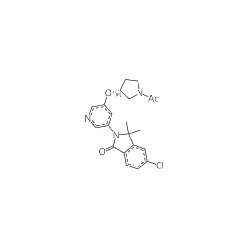 CC(=O)N1CC[C@@H](Oc2cncc(N3C(=O)c4ccc(Cl)cc4C3(C)C)c2)C1